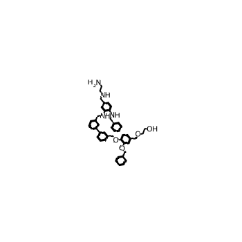 NCCNCc1ccc(NCc2ccccc2)c(NCc2cccc(-c3cccc(COc4ccc(COCCO)cc4OCc4ccccc4)c3)c2)c1